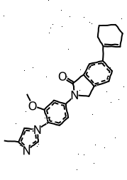 COc1cc(N2Cc3ccc(C4=CCCCC4)cc3C2=O)ccc1-n1cnc(C)c1